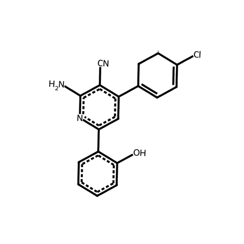 N#Cc1c(C2=CC=C(Cl)[CH]C2)cc(-c2ccccc2O)nc1N